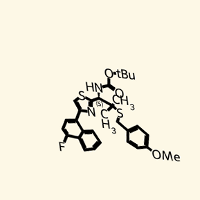 COc1ccc(CSC(C)(C)[C@H](NC(=O)OC(C)(C)C)c2nc(-c3ccc(F)c4ccccc34)cs2)cc1